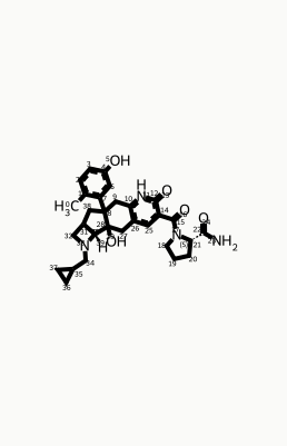 Cc1ccc(O)cc1C12Cc3[nH]c(=O)c(C(=O)N4CCC[C@H]4C(N)=O)cc3CC1(O)[C@H]1C(CN1CC1CC1)C2